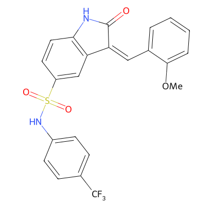 COc1ccccc1C=C1C(=O)Nc2ccc(S(=O)(=O)Nc3ccc(C(F)(F)F)cc3)cc21